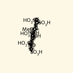 COc1cc(/N=N/c2cc(S(=O)(=O)O)c3cccc(S(=O)(=O)O)c3c2)c(C)cc1NNc1c(S(=O)(=O)O)cc2cc(/N=N/C3C(=O)N(c4ccc(S(=O)(=O)O)cc4)N=C3C(=O)O)ccc2c1O